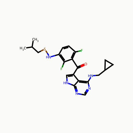 CC(C)CSNc1ccc(F)c(C(=O)c2c[nH]c3ncnc(NCC4CC4)c23)c1F